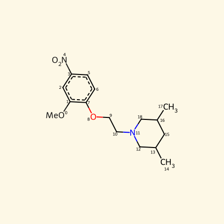 COc1cc([N+](=O)[O-])ccc1OCCN1CC(C)CC(C)C1